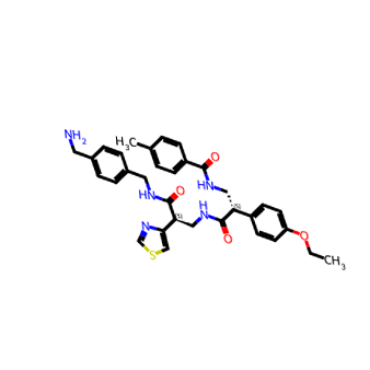 CCOc1ccc([C@@H](CNC(=O)c2ccc(C)cc2)C(=O)NC[C@H](C(=O)NCc2ccc(CN)cc2)c2cscn2)cc1